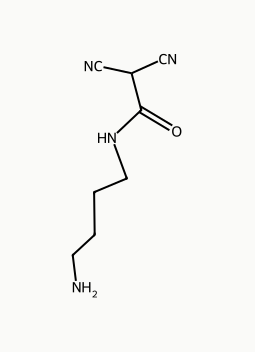 N#CC(C#N)C(=O)NCCCCN